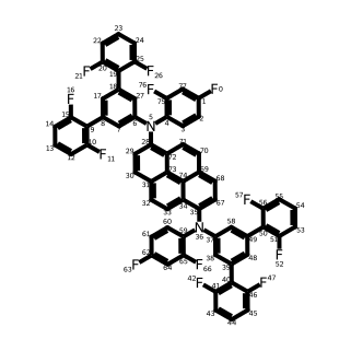 Fc1ccc(N(c2cc(-c3c(F)cccc3F)cc(-c3c(F)cccc3F)c2)c2ccc3ccc4c(N(c5cc(-c6c(F)cccc6F)cc(-c6c(F)cccc6F)c5)c5ccc(F)cc5F)ccc5ccc2c3c54)c(F)c1